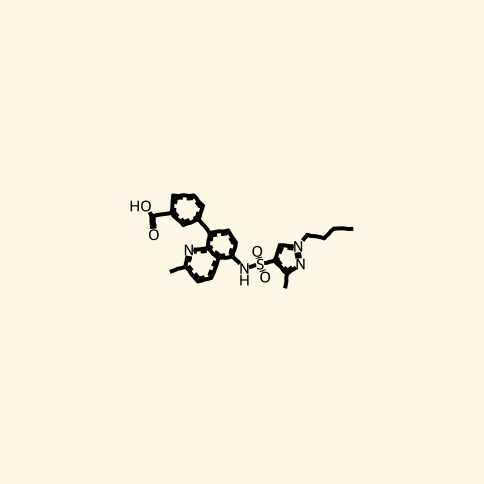 CCCCn1cc(S(=O)(=O)Nc2ccc(-c3cccc(C(=O)O)c3)c3nc(C)ccc23)c(C)n1